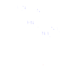 COc1ccc(CC2(N)NC(N)=NC=C2N)cc1